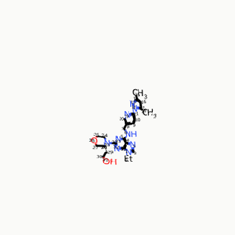 CCn1cnc2c(NCc3ccc(-n4nc(C)cc4C)nc3)nc(N3CCOC[C@H]3CCO)nc21